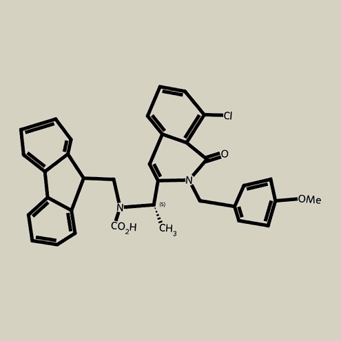 COc1ccc(Cn2c([C@H](C)N(CC3c4ccccc4-c4ccccc43)C(=O)O)cc3cccc(Cl)c3c2=O)cc1